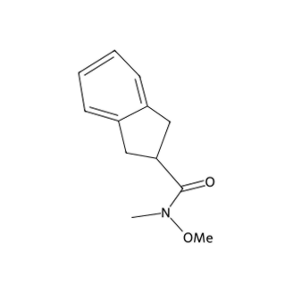 CON(C)C(=O)C1Cc2ccccc2C1